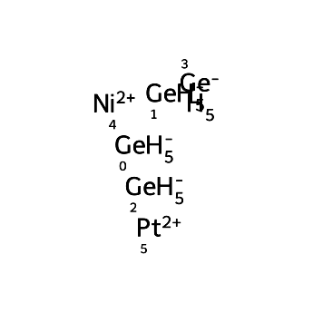 [GeH5-].[GeH5-].[GeH5-].[GeH5-].[Ni+2].[Pt+2]